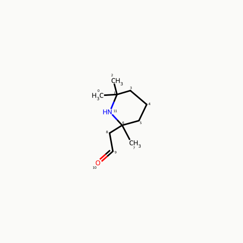 CC1(C)CCCC(C)(CC=O)N1